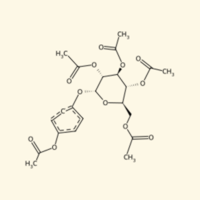 CC(=O)OC[C@H]1O[C@H](Oc2ccc(OC(C)=O)cc2)[C@H](OC(C)=O)[C@@H](OC(C)=O)[C@@H]1OC(C)=O